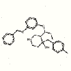 CCC(Oc1cccc(OCc2ccccc2)c1)C1CNCCC1(O)Cc1ccc(C)cc1